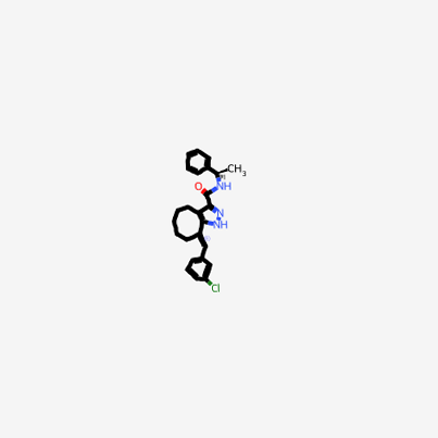 C[C@@H](NC(=O)c1n[nH]c2c1CCCCC/C2=C\c1cccc(Cl)c1)c1ccccc1